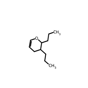 CCCC1CC=COC1CCC